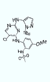 CCCCn1nccc1Nc1ncc(Cl)c(Nc2ccc(OC)cc2NS(C)(=O)=O)n1